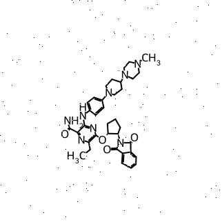 CCc1nc(C(N)=O)c(Nc2ccc(N3CCC(N4CCN(C)CC4)CC3)cc2)nc1O[C@@H]1CCC[C@H]1N1C(=O)c2ccccc2C1=O